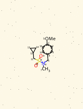 COc1ccc(CN(C)S(=O)(=O)CC2CC2)cc1